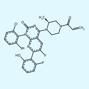 C=CC(=O)N1CCN(c2nc(=O)n(-c3c(Cl)cccc3C(C)C)c3nc(-c4c(O)cccc4F)c(F)cc23)[C@@H](C)C1